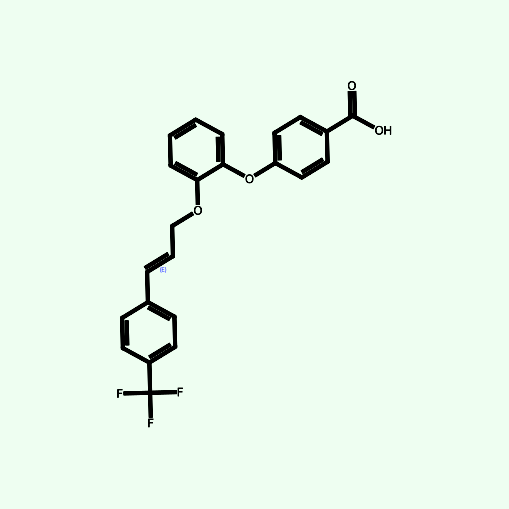 O=C(O)c1ccc(Oc2ccccc2OC/C=C/c2ccc(C(F)(F)F)cc2)cc1